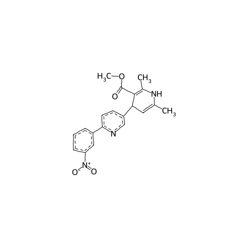 COC(=O)C1=C(C)NC(C)=CC1c1ccc(-c2cccc([N+](=O)[O-])c2)nc1